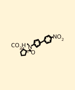 CN(C(=O)[C@H]1CCC[C@@H]1C(=O)O)c1ccc(-c2ccc([N+](=O)[O-])cc2)cc1